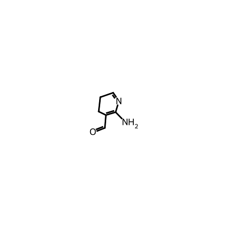 NC1=C(C=O)CCC=N1